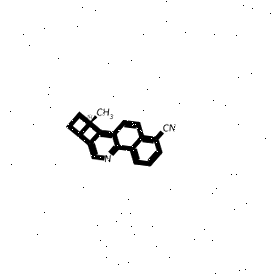 C[C@]12CCC1c1cnc3c(ccc4c(C#N)cccc43)c12